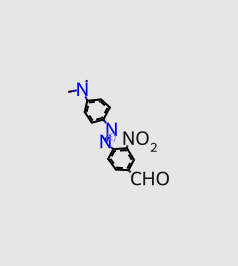 CN(C)c1ccc(/N=N/c2ccc(C=O)cc2[N+](=O)[O-])cc1